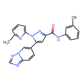 Cc1cccc(-n2nc(C(=O)Nc3cccc(C#N)c3)cc2-c2ccc3ncnn3c2)n1